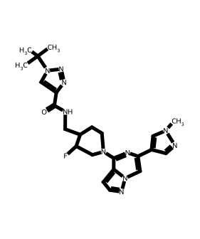 Cn1cc(-c2cn3nccc3c(N3CCC(CNC(=O)c4cn(C(C)(C)C)nn4)C(F)C3)n2)cn1